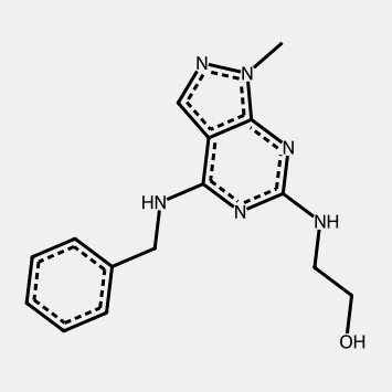 Cn1ncc2c(NCc3ccccc3)nc(NCCO)nc21